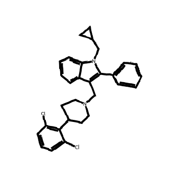 Clc1cccc(Cl)c1C1CCN(Cc2c(-c3ccccc3)n(CC3CC3)c3ccccc23)CC1